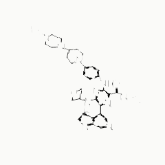 CN1CCN(C2CCN(c3ccc(Nc4nc(NC5COC5)c(-c5cncc6[nH]ccc56)nc4C(N)=O)cc3)CC2)CC1